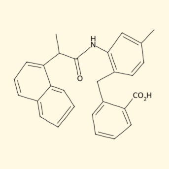 Cc1ccc(Cc2ccccc2C(=O)O)c(NC(=O)C(C)c2cccc3ccccc23)c1